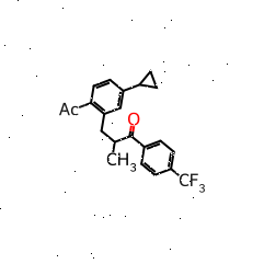 CC(=O)c1ccc(C2CC2)cc1CC(C)C(=O)c1ccc(C(F)(F)F)cc1